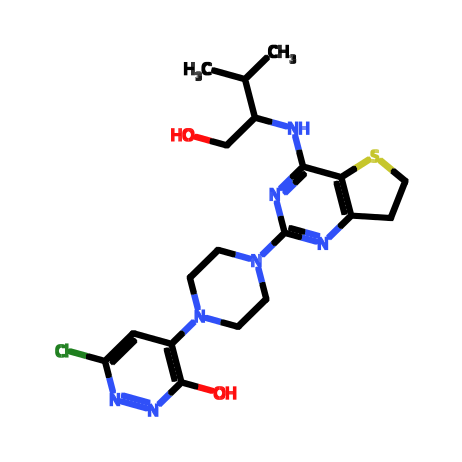 CC(C)C(CO)Nc1nc(N2CCN(c3cc(Cl)nnc3O)CC2)nc2c1SCC2